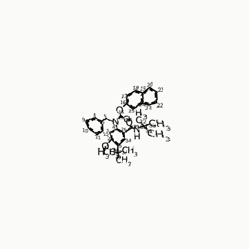 COc1cc(N(Cc2ccccc2)C(=O)Oc2ccc3ccccc3c2)c(C(=O)NC(C)(C)C)cc1C(C)(C)C